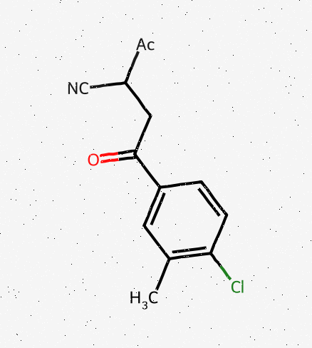 CC(=O)C(C#N)CC(=O)c1ccc(Cl)c(C)c1